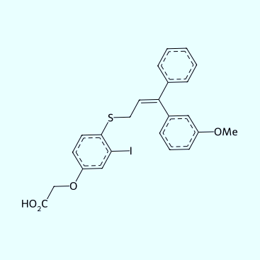 COc1cccc(/C(=C\CSc2ccc(OCC(=O)O)cc2I)c2ccccc2)c1